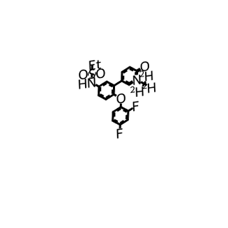 [2H]C([2H])([2H])n1cc(-c2cc(NS(=O)(=O)CC)ccc2Oc2ccc(F)cc2F)ccc1=O